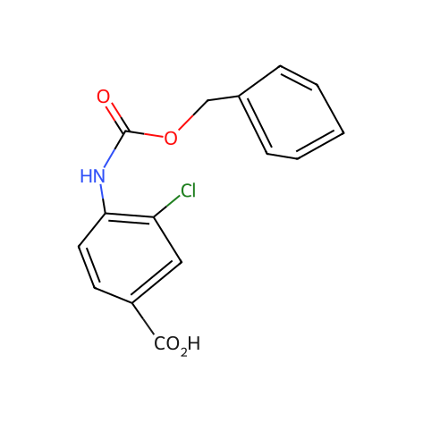 O=C(Nc1ccc(C(=O)O)cc1Cl)OCc1ccccc1